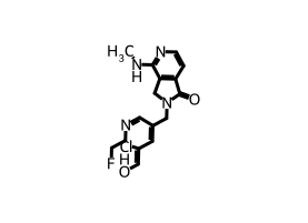 CNc1nccc2c1CN(CC(/C=N\CCF)=C/C(Cl)=C/O)C2=O